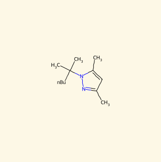 CCCCC(C)(C)n1nc(C)cc1C